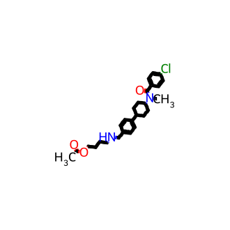 CC(=O)OCCCCNCc1ccc(C2CCC(N(C)C(=O)c3ccc(Cl)cc3)CC2)cc1